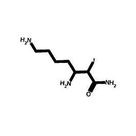 NCCCCC(N)C(I)C(N)=O